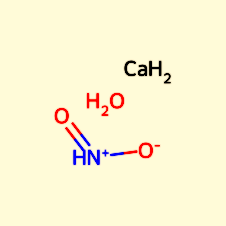 O.O=[NH+][O-].[CaH2]